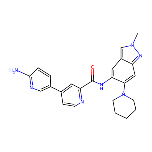 Cn1cc2cc(NC(=O)c3cc(-c4ccc(N)nc4)ccn3)c(N3CCCCC3)cc2n1